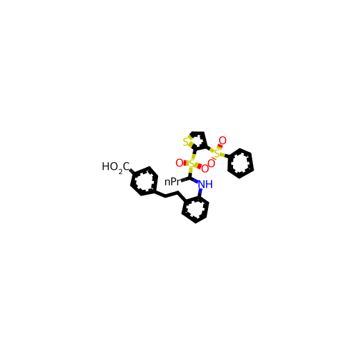 CCCC(Nc1ccccc1CCc1ccc(C(=O)O)cc1)S(=O)(=O)c1sccc1S(=O)(=O)c1ccccc1